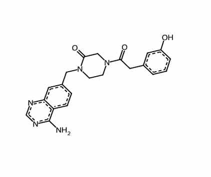 Nc1ncnc2cc(CN3CCN(C(=O)Cc4cccc(O)c4)CC3=O)ccc12